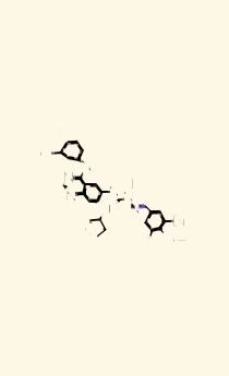 O=C(N/N=C/c1cc(Br)c(O)c(Br)c1)Nc1cc2c(Nc3ccc(F)c(Cl)c3)ncnc2cc1OC1CCOC1